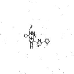 C#CCN1N=NC2=C(c3nc(-c4cccs4)cs3)NCN2C1=O